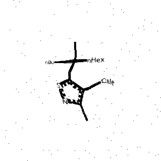 CCCCCCC(C)(CCCC)c1snc(C)c1OC